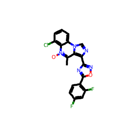 Cc1c2c(-c3noc(-c4ccc(F)cc4F)n3)ncn2c2cccc(Cl)c2[n+]1[O-]